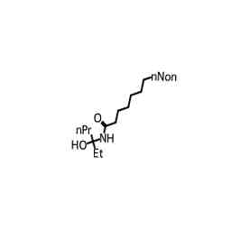 [CH2]CC(O)(CCC)NC(=O)CCCCCCCCCCCCCCC